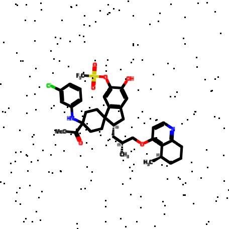 COC(=O)C1(Nc2cccc(Cl)c2)CCC2(CC1)c1cc(OS(=O)(=O)C(F)(F)F)c(O)cc1C[C@@H]2C[C@@H](C)COc1ccnc2c1[C@H](C)CCC2